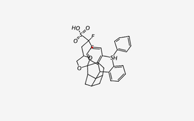 O=S(=O)(O)C(F)(F)CC1COC2(O1)C1CC3CC(C1)C(c1ccccc1[SH](c1ccccc1)c1ccccc1)C2C3